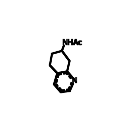 CC(=O)NC1CCc2cccnc2C1